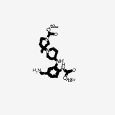 CC(C)(C)OC(=O)Nc1ccc(CN)cc1NC1CCN(C2(C)CCN(C(=O)OC(C)(C)C)C2)CC1